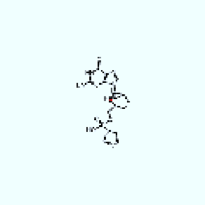 Nc1nc2c(ncn2[C@@H]2O[C@@]3(COP(=O)(O)n4ccnc4)COC2[C@H]3O)c(=O)[nH]1